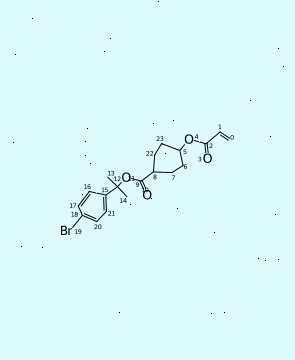 C=CC(=O)OC1CCC(C(=O)OC(C)(C)c2ccc(Br)cc2)CC1